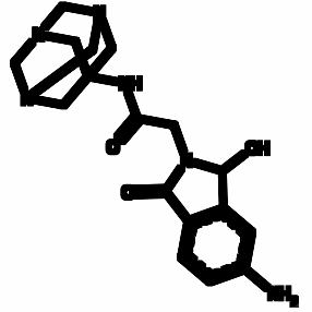 Nc1ccc2c(c1)C(O)N(CC(=O)NC13CN4CN(CN(C4)C1)C3)C2=O